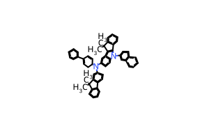 CC1(C)c2ccccc2-c2ccc(N(c3ccc4c(c3)c3c(n4-c4ccc5ccccc5c4)-c4ccccc4C3(C)C)C3C=CC(c4ccccc4)=CC3)cc21